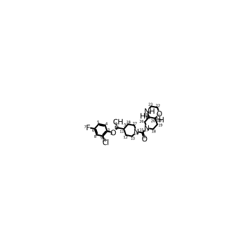 C[C@@H](Oc1ccc(F)cc1Cl)C1CCN(C(=O)N2CC[C@@H]3OCCN[C@@H]3C2)CC1